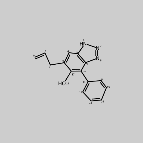 C=CCc1cc2[nH]nnc2c(-c2ccccc2)c1O